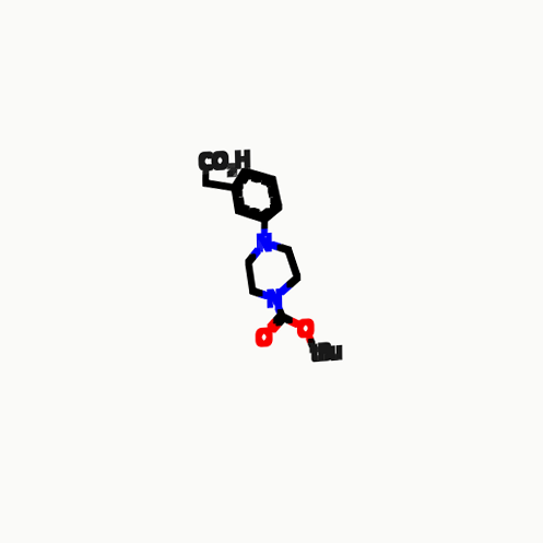 CC(C)(C)OC(=O)N1CCN(c2cccc(CC(=O)O)c2)CC1